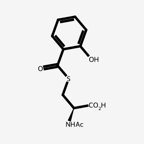 CC(=O)N[C@@H](CSC(=O)c1ccccc1O)C(=O)O